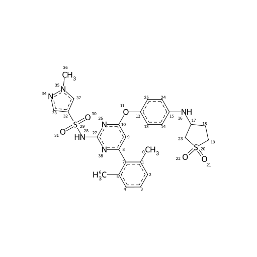 Cc1cccc(C)c1-c1cc(Oc2ccc(NC3CCS(=O)(=O)C3)cc2)nc(NS(=O)(=O)c2cnn(C)c2)n1